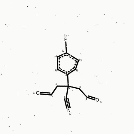 N#CC(CC=O)(CC=O)c1ccc(F)cc1